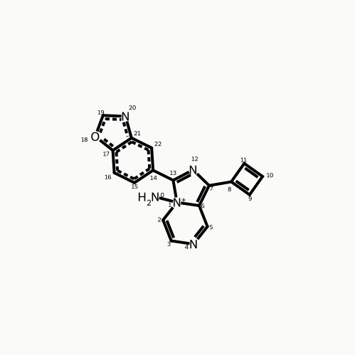 N[N+]12C=CN=CC1=C(C1=CC=C1)N=C2c1ccc2ocnc2c1